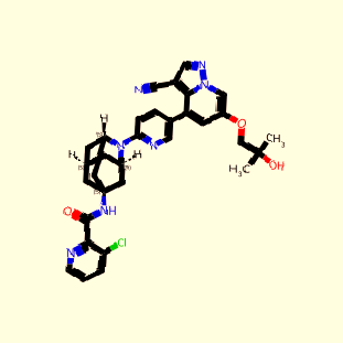 CC(C)(O)COc1cc(-c2ccc(N3[C@@H]4C[C@@H]5C[C@H]3C[C@@](NC(=O)c3ncccc3Cl)(C5)C4)nc2)c2c(C#N)cnn2c1